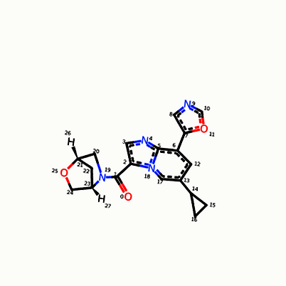 O=C(c1cnc2c(-c3cnco3)cc(C3CC3)cn12)N1C[C@@H]2C[C@H]1CO2